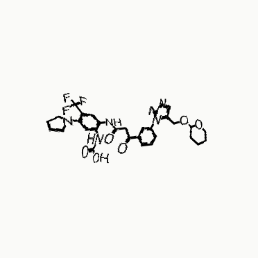 O=C(O)Nc1cc(N2CCCC2)c(C(F)(F)F)cc1NC(=O)CC(=O)c1cccc(-n2nncc2COC2CCCCO2)c1